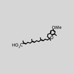 COc1cc(C)c2c(c1)CCC(C)(CC/C=C(\C)CC/C=C(\C)CC/C=C(\C)C(=O)O)O2